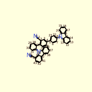 N#Cc1cc(-c2ccc(-n3c4ccccc4c4ccccc43)cc2)ccc1-c1ccccc1-n1c2ccccc2c2cccc(C#N)c21